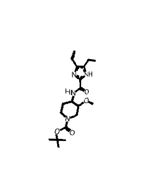 CCc1nc(C(=O)NC2CCN(C(=O)OC(C)(C)C)CC2OC)[nH]c1CC